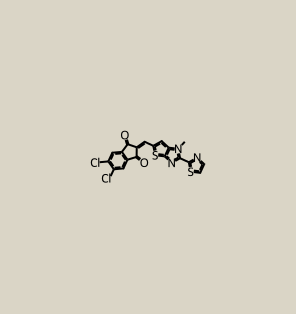 Cn1c(-c2nccs2)nc2sc(C=C3C(=O)c4cc(Cl)c(Cl)cc4C3=O)cc21